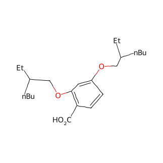 CCCCC(CC)COc1ccc(C(=O)O)c(OCC(CC)CCCC)c1